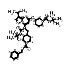 CC(C)c1cnn2c(N(CC3CCN(C(=O)OCc4ccccc4)CC3)C(=O)OC(C)(C)C)cc(O[C@@H]3CCCN(C(=O)OC(C)(C)C)C3)nc12